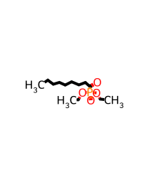 CCCCCCCCC(=O)P(=O)(OCC)OCC